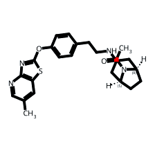 CC(=O)N1[C@@H]2CC[C@H]1CC(NCCc1ccc(Oc3nc4ncc(C)cc4s3)cc1)C2